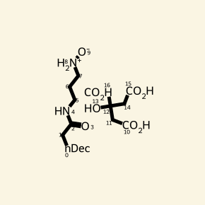 CCCCCCCCCCCC(=O)NCCC[NH2+][O-].O=C(O)CC(O)(CC(=O)O)C(=O)O